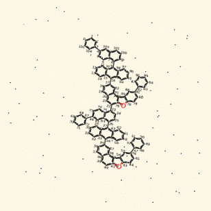 c1ccc(-c2ccc3c(-c4c5ccccc5c(-c5ccc6cc(-c7ccc(-c8c9ccccc9c(-c9ccc%10ccc%11oc%12ccc(-c%13ccccc%13)cc%12c%11c%10c9)c9ccccc89)c8cc(-c9ccccc9)ccc78)c7oc8ccc(-c9ccccc9)cc8c7c6c5)c5ccccc45)cccc3c2)cc1